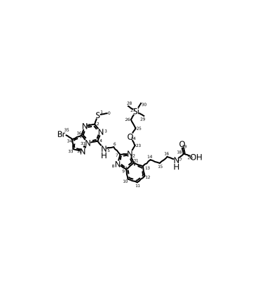 CSc1nc(NCc2nc3cccc(CCCNC(=O)O)c3n2COCC[Si](C)(C)C)n2ncc(Br)c2n1